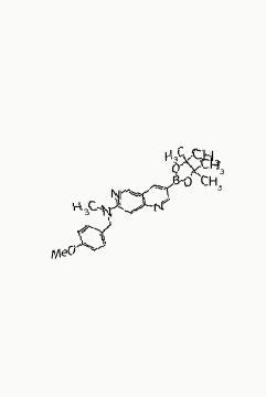 COc1ccc(CN(C)c2cc3ncc(B4OC(C)(C)C(C)(C)O4)cc3cn2)cc1